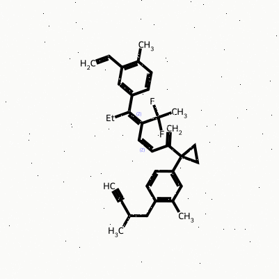 C#CC(C)Cc1ccc(C2(C(=C)/C=C\C(=C(/CC)c3ccc(C)c(C=C)c3)C(C)(F)F)CC2)cc1C